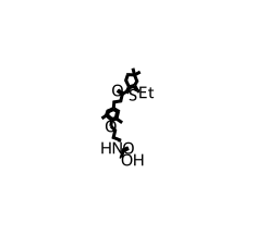 CCc1sc(C(=O)CCc2cc(C)c(OCCCNC(=O)CO)c(C)c2)c2c1CC(C)(C)CC2